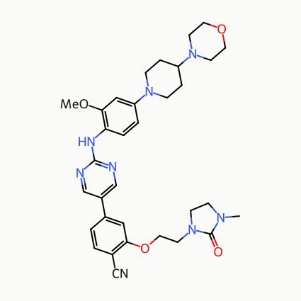 COc1cc(N2CCC(N3CCOCC3)CC2)ccc1Nc1ncc(-c2ccc(C#N)c(OCCN3CCN(C)C3=O)c2)cn1